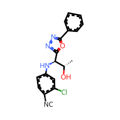 [C-]#[N+]c1ccc(N[C@@H](c2nnc(-c3ccccc3)o2)[C@H](C)O)cc1Cl